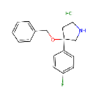 Cl.Fc1ccc(C2(OCc3ccccc3)CCNC2)cc1